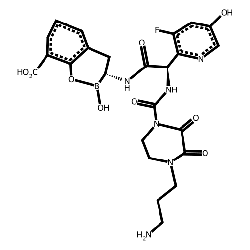 NCCCN1CCN(C(=O)N[C@@H](C(=O)N[C@H]2Cc3cccc(C(=O)O)c3OB2O)c2ncc(O)cc2F)C(=O)C1=O